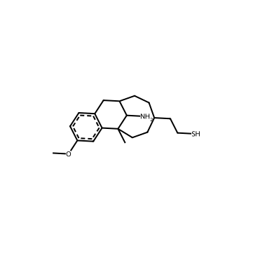 COc1ccc2c(c1)C1(C)CCC(CCS)CCC(C2)C1N